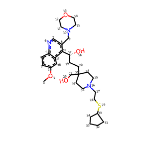 COc1ccc2ncc(CN3CCOCC3)c([C@H](O)CCC3(CO)CCN(CCSC4CCCC4)CC3)c2c1